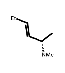 CC/C=C/[C@H](C)NC